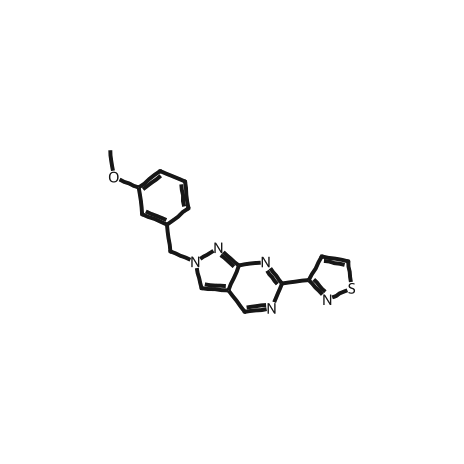 COc1cccc(Cn2cc3cnc(-c4ccsn4)nc3n2)c1